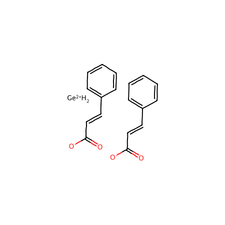 O=C([O-])C=Cc1ccccc1.O=C([O-])C=Cc1ccccc1.[GeH2+2]